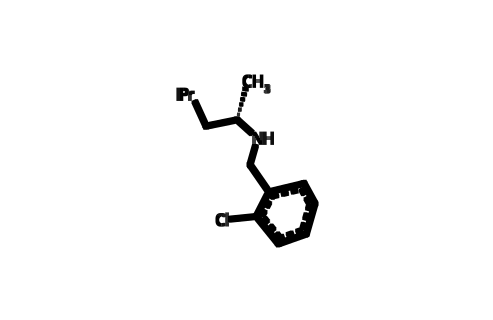 CC(C)C[C@H](C)NCc1ccccc1Cl